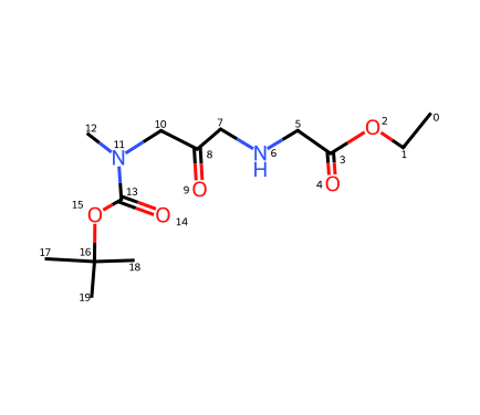 CCOC(=O)CNCC(=O)CN(C)C(=O)OC(C)(C)C